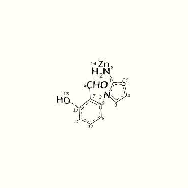 Nc1nccs1.O=Cc1ccccc1O.[Zn]